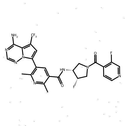 Cc1nc(C)c(-c2cc(C(F)(F)F)c3c(N)ncnn23)cc1C(=O)N[C@@H]1CN(C(=O)c2ccncc2F)C[C@@H]1F